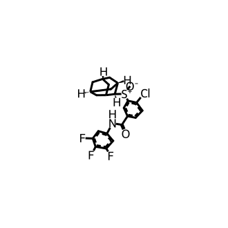 O=C(Nc1cc(F)c(F)c(F)c1)c1ccc(Cl)c([S+]([O-])[C@H]2C3C[C@@H]4C[C@H](C3)C[C@@H]2C4)c1